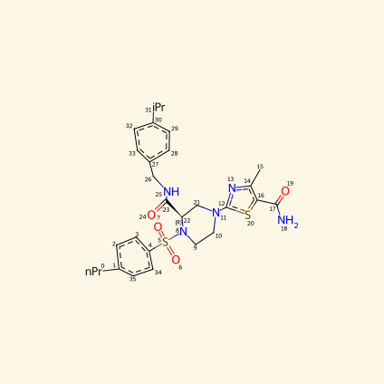 CCCc1ccc(S(=O)(=O)N2CCN(c3nc(C)c(C(N)=O)s3)C[C@@H]2C(=O)NCc2ccc(C(C)C)cc2)cc1